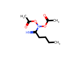 CCCCC(=N)N(OC(C)=O)OC(C)=O